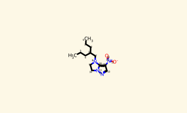 CCCC(CCC)CN1CCn2ncc([N+](=O)[O-])c21